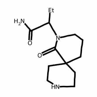 CCC(C(N)=O)N1CCCC2(CCNCC2)C1=O